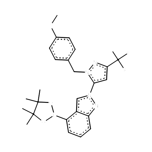 COc1ccc(Cn2nc(C(F)(F)F)cc2-n2cc3c(B4OC(C)(C)C(C)(C)O4)cccc3n2)cc1